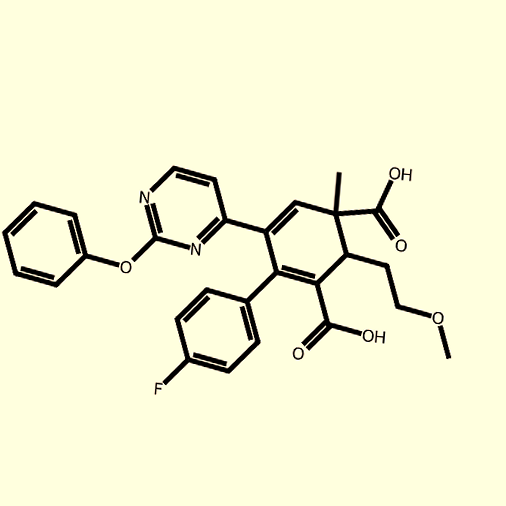 COCCC1C(C(=O)O)=C(c2ccc(F)cc2)C(c2ccnc(Oc3ccccc3)n2)=CC1(C)C(=O)O